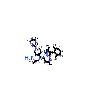 Cc1cc(N(CC(C)N)C2CCN(c3ncccn3)CC2)n2nc(C)c(-c3c(C)cccc3C)c2n1